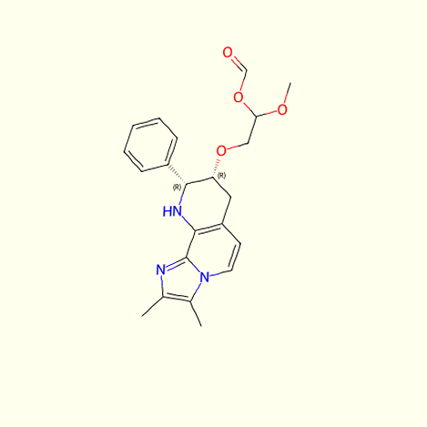 COC(CO[C@@H]1Cc2ccn3c(C)c(C)nc3c2N[C@@H]1c1ccccc1)OC=O